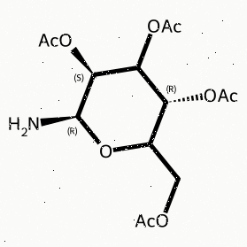 CC(=O)OCC1O[C@@H](N)[C@@H](OC(C)=O)C(OC(C)=O)[C@@H]1OC(C)=O